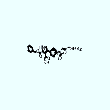 CC(=O)NC[C@H]1CN(c2ccc(C3=C(C(=O)CO)[C@@H](C(=O)OCc4ccccc4)NC3)cc2)C(=O)O1